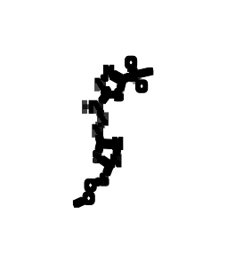 COOSc1nnc(N=NNc2nnc(S(C)(=O)=O)s2)s1